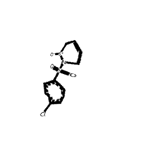 O=S(=O)(c1ccc(Cl)cc1)N1CC=CC[S+]1[O-]